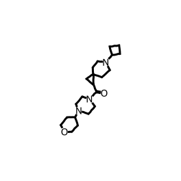 O=C(C1CC12CCN(C1CCC1)CC2)N1CCN(C2CCOCC2)CC1